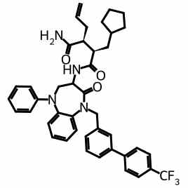 C=CC[C@H](C(N)=O)[C@@H](CC1CCCC1)C(=O)NC1CN(c2ccccc2)c2ccccc2N(Cc2cccc(-c3ccc(C(F)(F)F)cc3)c2)C1=O